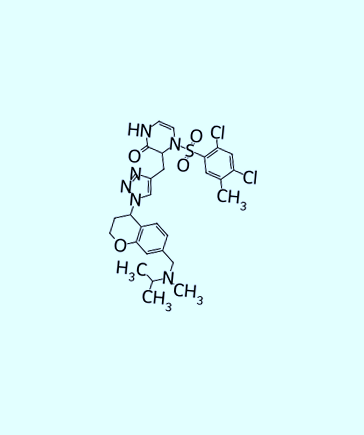 Cc1cc(S(=O)(=O)N2C=CNC(=O)C2Cc2cn(C3CCOc4cc(CN(C)C(C)C)ccc43)nn2)c(Cl)cc1Cl